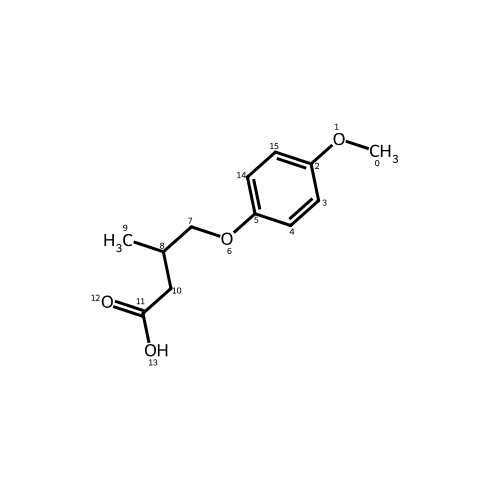 COc1ccc(OCC(C)CC(=O)O)cc1